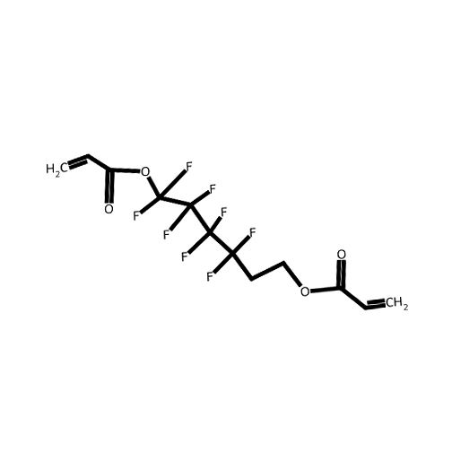 C=CC(=O)OCCC(F)(F)C(F)(F)C(F)(F)C(F)(F)OC(=O)C=C